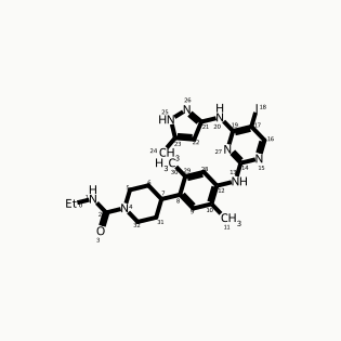 CCNC(=O)N1CCC(c2cc(C)c(Nc3ncc(I)c(Nc4cc(C)[nH]n4)n3)cc2C)CC1